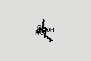 CCCCCc1cc(O)c(CC=C(C)CCC=C(C)C)c(O)c1C(=O)N1CCC1